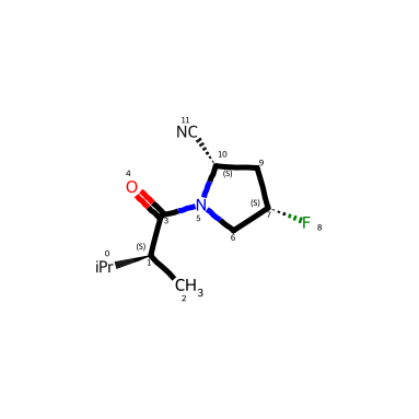 CC(C)[C@H](C)C(=O)N1C[C@@H](F)C[C@H]1C#N